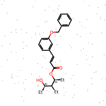 CCC([C@H](O)CC)[C@H](CC)OC(=O)C=Cc1cccc(OCc2ccccc2)c1